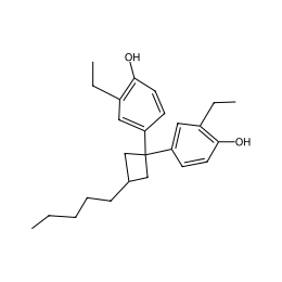 CCCCCC1CC(c2ccc(O)c(CC)c2)(c2ccc(O)c(CC)c2)C1